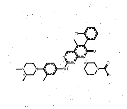 CCC(=O)N1CCC[C@H](n2c(=O)c(-c3ccccc3Cl)c(C)c3cnc(Nc4ccc(N5CCN(C)[C@H](C)C5)c(C)c4)nc32)C1